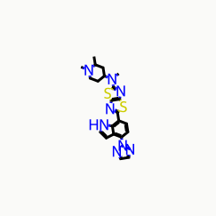 CC1CC(N(C)c2nc3sc(-c4ccc(-n5nccn5)c5cc[nH]c45)nc3s2)CCN1C